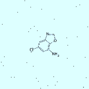 Nc1cc(Cl)cc2ncoc12